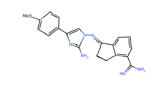 COc1ccc(-c2cn(/N=C3\CCc4c(C(=N)N)cccc43)c(N)n2)cc1